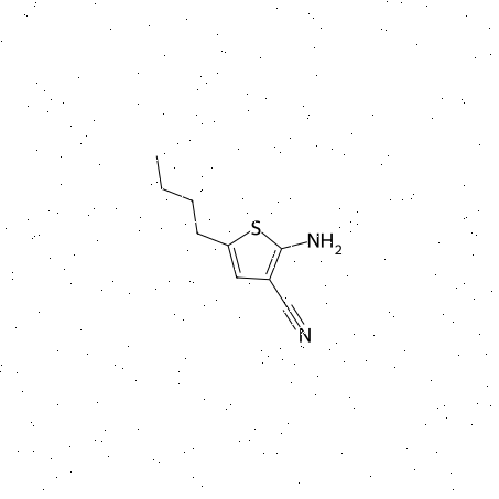 CCCCc1cc(C#N)c(N)s1